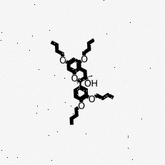 CCCCOc1cc(OCCCC)c2c(c1)O[C@H](c1ccc(OCCCC)c(OCCCC)c1)[C@](C)(O)C2